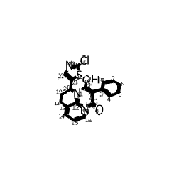 O=c1c(-c2ccccc2)c(O)[n+]2c3c(cccn13)CCC2c1cnc(Cl)s1